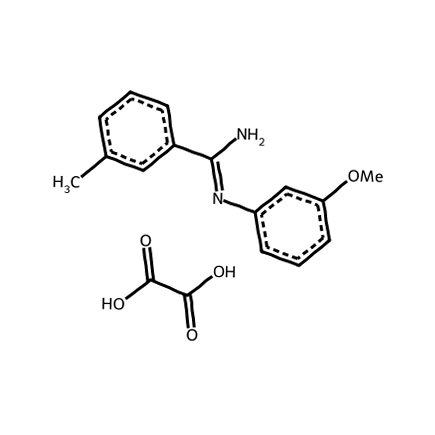 COc1cccc(N=C(N)c2cccc(C)c2)c1.O=C(O)C(=O)O